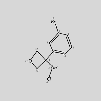 ClNC1(c2cccc(Br)c2)COC1